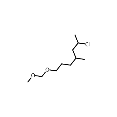 COCOCCCC(C)CC(C)Cl